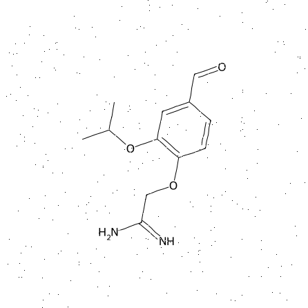 CC(C)Oc1cc(C=O)ccc1OCC(=N)N